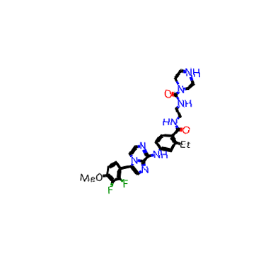 CCc1cc(Nc2nccn3c(-c4ccc(OC)c(F)c4F)cnc23)ccc1C(=O)NCCNC(=O)N1CCNCC1